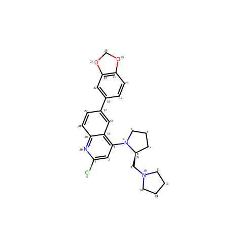 Clc1cc(N2CCC[C@H]2CN2CCCC2)c2cc(-c3ccc4c(c3)OCO4)ccc2n1